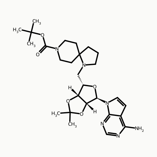 CC(C)(C)OC(=O)N1CCC2(CCCN2C[C@@H]2O[C@@H](n3ccc4c(N)ncnc43)[C@@H]3OC(C)(C)O[C@@H]32)CC1